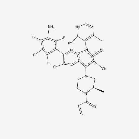 C=CC(=O)N1CCN(c2c(C#N)c(=O)n(C3=C(C)C=CNC3C(C)C)c3nc(-c4c(F)c(N)c(F)c(F)c4Cl)c(Cl)cc23)C[C@H]1C